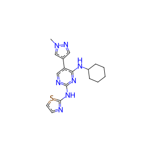 Cn1cc(-c2cnc(Nc3nccs3)nc2NC2CCCCC2)cn1